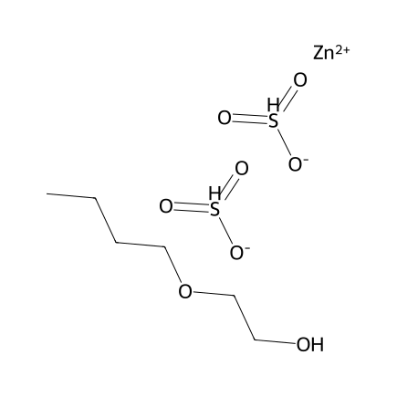 CCCCOCCO.O=[SH](=O)[O-].O=[SH](=O)[O-].[Zn+2]